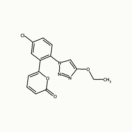 CCOc1cn(-c2ccc(Cl)cc2-c2cccc(=O)o2)nn1